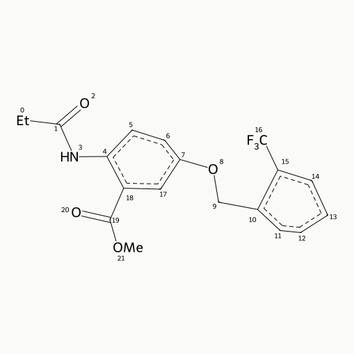 CCC(=O)Nc1ccc(OCc2ccccc2C(F)(F)F)cc1C(=O)OC